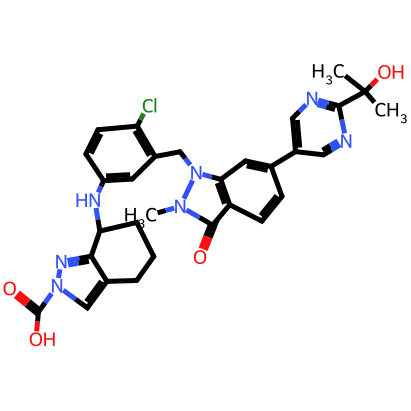 Cn1c(=O)c2ccc(-c3cnc(C(C)(C)O)nc3)cc2n1Cc1cc(NC2CCCc3cn(C(=O)O)nc32)ccc1Cl